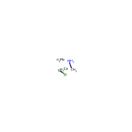 CN.[CaH2].[PbH2].[Ti][Br]